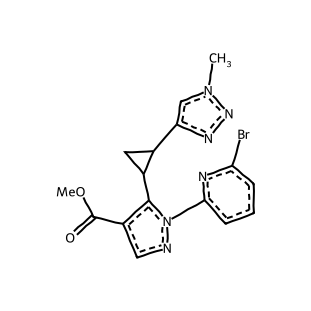 COC(=O)c1cnn(-c2cccc(Br)n2)c1C1CC1c1cn(C)nn1